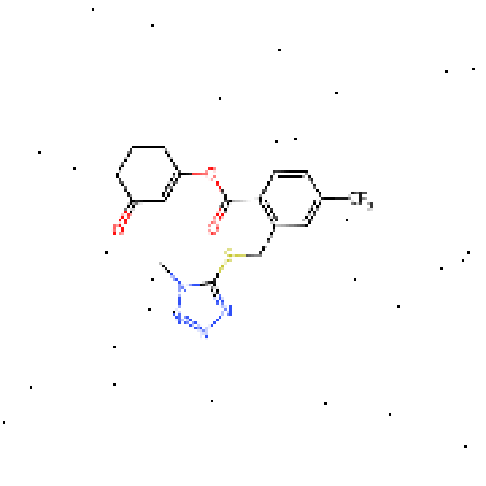 Cn1nnnc1SCc1cc(C(F)(F)F)ccc1C(=O)OC1=CC(=O)CCC1